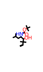 C=CC(C)(C)C(O)C(CC(C)C)NC(=O)OC(C)(C)C